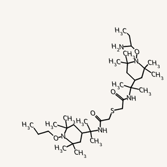 CCCON1C(C)(C)CC(C(C)(C)NC(=O)CSCC(=O)NC(C)(C)C2CC(C)(C)N(OC(N)CC)C(C)(C)C2)CC1(C)C